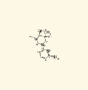 C[C@]1(F)CN(c2nccc(N)n2)CC(F)C1O